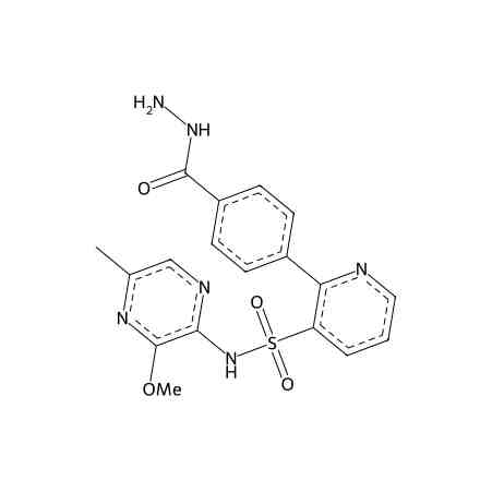 COc1nc(C)cnc1NS(=O)(=O)c1cccnc1-c1ccc(C(=O)NN)cc1